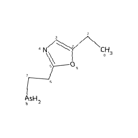 CCc1cnc(CC[AsH2])o1